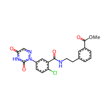 COC(=O)c1cccc(CCNC(=O)c2cc(-n3ncc(=O)[nH]c3=O)ccc2Cl)c1